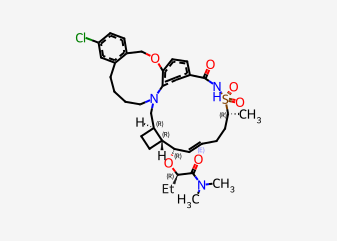 CC[C@@H](O[C@H]1/C=C/CC[C@@H](C)S(=O)(=O)NC(=O)c2ccc3c(c2)N(CCCCc2cc(Cl)ccc2CO3)C[C@@H]2CC[C@H]21)C(=O)N(C)C